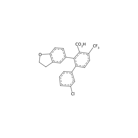 O=C(O)c1c(C(F)(F)F)ccc(-c2cccc(Cl)c2)c1-c1ccc2c(c1)CCO2